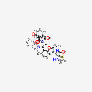 CNC(=O)[C@H]1CCCC[C@H]1C(=O)N1CCc2cccc(O[C@H]3CCN(C(=O)C4(C)NC=CS4)C3)c2[C@H]1CN1C(=O)c2ccccc2C1=O